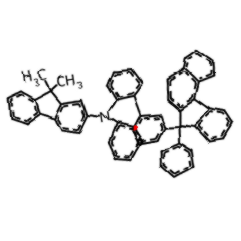 CC1(C)c2ccccc2-c2ccc(N(c3ccccc3)c3ccccc3-c3cccc(C4(c5ccccc5)c5ccccc5-c5c4ccc4ccccc54)c3)cc21